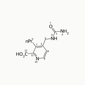 CCCc1c(CNC(N)=O)ccnc1C(=O)O